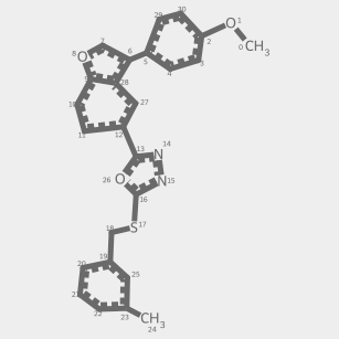 COc1ccc(-c2coc3ccc(-c4nnc(SCc5cccc(C)c5)o4)cc23)cc1